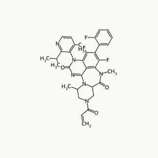 C=CC(=O)N1CC(C)N2c3nc(=O)n(-c4c(C)ccnc4C(C)C)c4c(F)c(-c5ccccc5F)c(F)c(c34)N(C)C(=O)C2C1